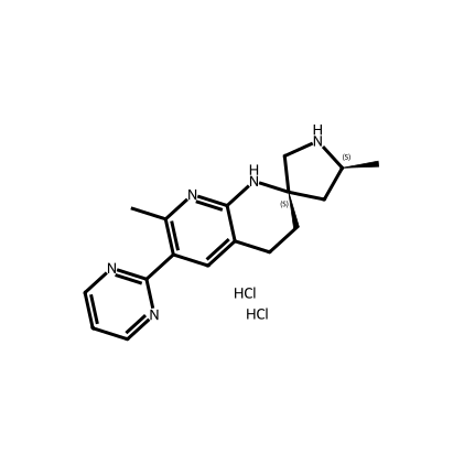 Cc1nc2c(cc1-c1ncccn1)CC[C@]1(CN[C@@H](C)C1)N2.Cl.Cl